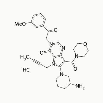 CC#CCn1c(N2CCCC(N)C2)c(C(=O)N2CCOCC2)c2ncn(CC(=O)c3cccc(OC)c3)c(=O)c21.Cl